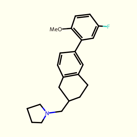 COc1ccc(F)cc1-c1ccc2c(c1)CCC(CN1CCCC1)C2